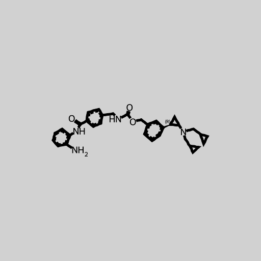 Nc1ccccc1NC(=O)c1ccc(CNC(=O)OCc2cccc([C@H]3CC3N(CC3CC3)CC3CC3)c2)cc1